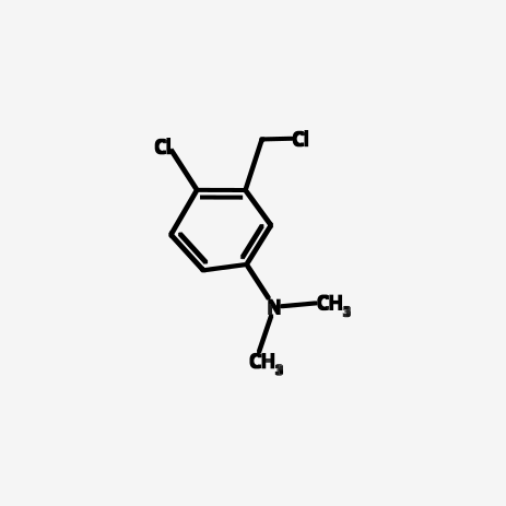 CN(C)c1ccc(Cl)c(CCl)c1